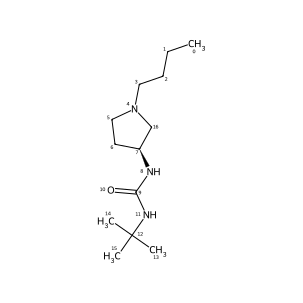 CCCCN1CC[C@H](NC(=O)NC(C)(C)C)C1